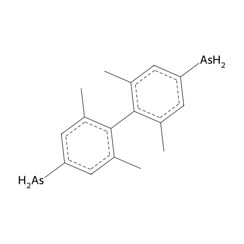 Cc1cc([AsH2])cc(C)c1-c1c(C)cc([AsH2])cc1C